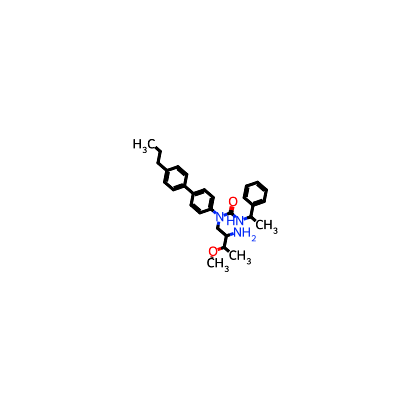 CCCc1ccc(-c2ccc(N(CC(N)C(C)OC)C(=O)NC(C)c3ccccc3)cc2)cc1